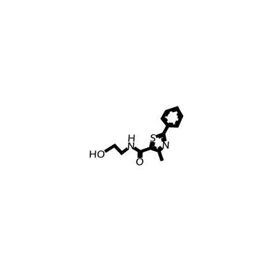 Cc1nc(-c2ccccc2)sc1C(=O)NCCO